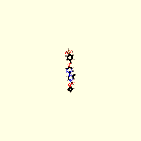 CC1CN(C(=O)OC2CCC2)CCN1c1ncc(OCc2ccc(S(C)(=O)=O)cc2)cn1